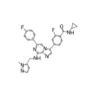 Cn1nccc1CNc1nc(-c2ccc(F)cc2)cn2c(-c3ccc(C(=O)NC4CC4)c(F)c3)cnc12